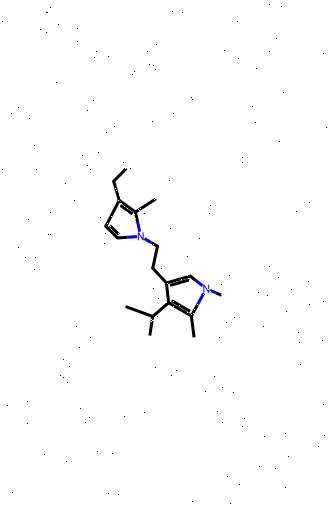 CCc1ccn(CCc2cn(C)c(C)c2C(C)C)c1C